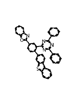 c1ccc(-c2nc(-c3ccccc3)nc(-c3cc(-c4nc5ccccc5o4)ccc3-c3ccc4c(c3)sc3ccccc34)n2)cc1